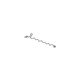 CCC[S+]([O-])CCCCCCCCCCCCBr